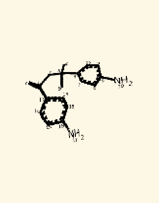 C=C(CC(C)(C)c1ccc(N)cc1)c1ccc(N)cc1